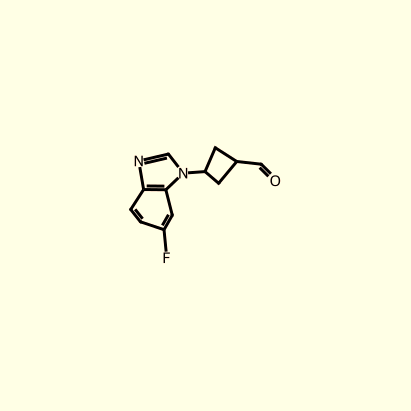 O=CC1CC(n2cnc3ccc(F)cc32)C1